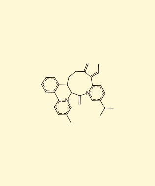 C=C1CCC2c3ccccc3-c3ccc(C)c[n+]3C2C(=C)[n+]2cc(C(C)C)ccc2/C1=C/C